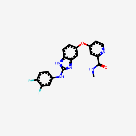 CNC(=O)c1cc(Oc2ccc3[nH]c(Nc4ccc(F)c(F)c4)nc3c2)ccn1